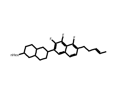 CC=CCCc1ccc2cc(C3CCC4CC(CCCCCC)CCC4C3)c(F)c(F)c2c1F